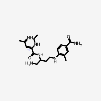 CCN/C(=C\C(C)=N)C(=O)NC(CN)CCNc1ccc(C(N)=O)cc1C